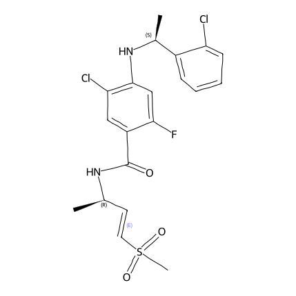 C[C@H](/C=C/S(C)(=O)=O)NC(=O)c1cc(Cl)c(N[C@@H](C)c2ccccc2Cl)cc1F